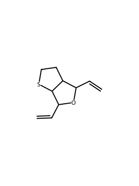 C=CC1OC(C=C)C2SCCC12